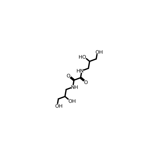 O=C(NCC(O)CO)C(=O)NCC(O)CO